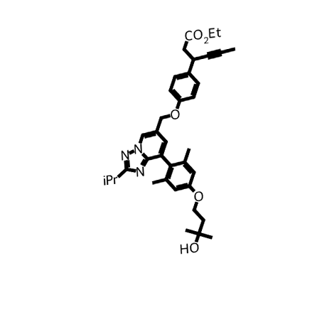 CC#CC(CC(=O)OCC)c1ccc(OCc2cc(-c3c(C)cc(OCCC(C)(C)O)cc3C)c3nc(C(C)C)nn3c2)cc1